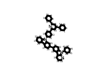 c1ccc(-c2cc(-c3ccccc3)nc(-c3ccc(-n4c5ccccc5c5ccc(-c6ccc7c(c6)c6cccnc6n7-c6ccccc6)cc54)cc3)c2)cc1